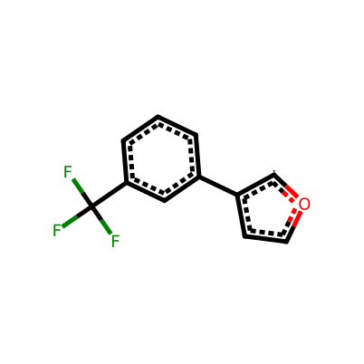 FC(F)(F)c1cccc(-c2[c]occ2)c1